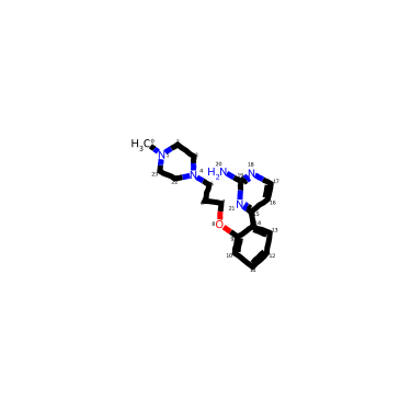 CN1CCN(CCCOc2ccccc2-c2ccnc(N)n2)CC1